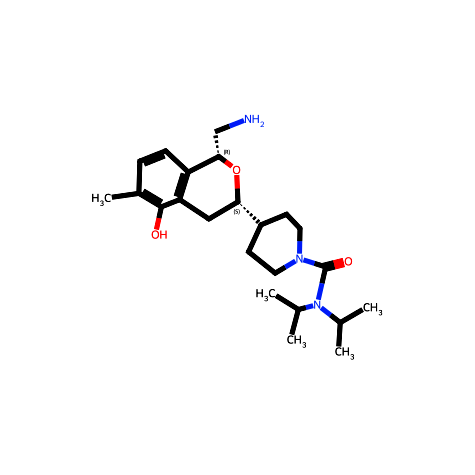 Cc1ccc2c(c1O)C[C@@H](C1CCN(C(=O)N(C(C)C)C(C)C)CC1)O[C@H]2CN